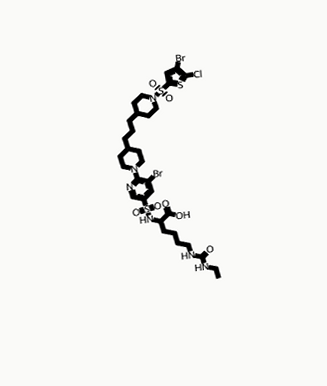 CCNC(=O)NCCCCC(NS(=O)(=O)c1cnc(N2CCC(CCCC3CCN(S(=O)(=O)c4cc(Br)c(Cl)s4)CC3)CC2)c(Br)c1)C(=O)O